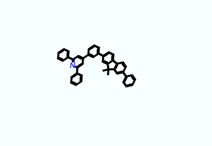 CC1(C)c2cc(-c3ccccc3)ccc2-c2ccc(-c3cccc(-c4cc(-c5ccccc5)nc(-c5ccccc5)c4)c3)cc21